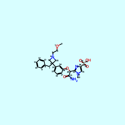 COCCN1CC(Cc2ccccc2)(c2cccc(OC(C(N)=O)c3nc(S(=O)(=O)O)cn3C)c2)C1